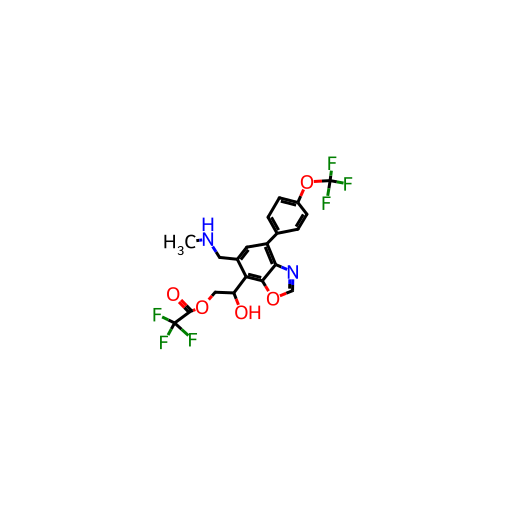 CNCc1cc(-c2ccc(OC(F)(F)F)cc2)c2ncoc2c1C(O)COC(=O)C(F)(F)F